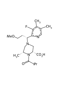 COCC[C@H](c1ncc(C)c(C)c1F)N1C[C@@H](C)N(C(=O)C(C)C)[C@@H](C(=O)O)C1